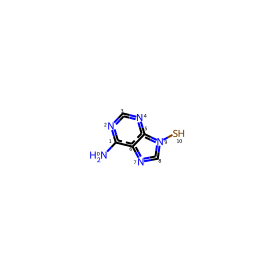 Nc1ncnc2c1ncn2S